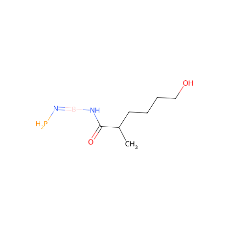 CC(CCCCO)C(=O)N/B=N/P